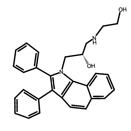 OCCNC[C@H](O)Cn1c(-c2ccccc2)c(-c2ccccc2)c2ccc3ccccc3c21